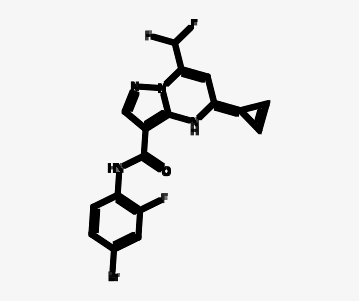 O=C(Nc1ccc(Br)cc1F)c1cnn2c1NC(=C1C=C1)C=C2C(F)F